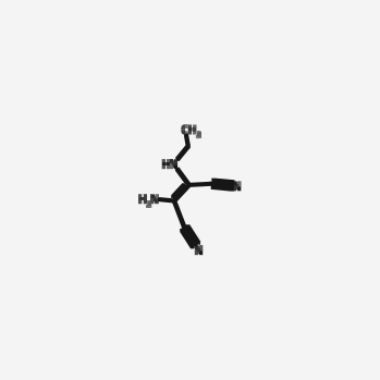 CCNC(C#N)=C(N)C#N